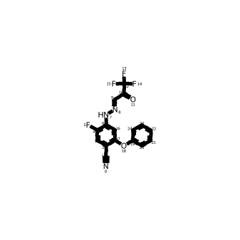 N#Cc1cc(F)c(NN=CC(=O)C(F)(F)F)cc1Oc1ccccc1